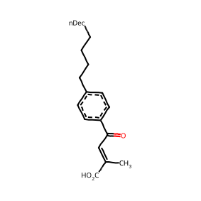 CCCCCCCCCCCCCCc1ccc(C(=O)C=C(C)C(=O)O)cc1